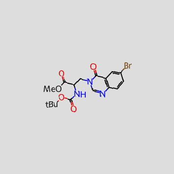 COC(=O)C(Cn1cnc2ccc(Br)cc2c1=O)NC(=O)OC(C)(C)C